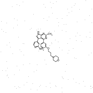 Cc1nc(-c2cccc(OCCCN3CCOCC3)c2)c2c(-c3ccnc(N)c3)c[nH]c2n1